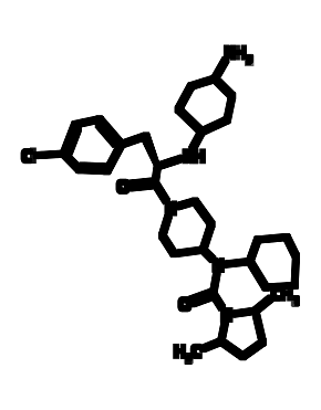 CC1CCC(C)N1C(=O)N(C1CCCCC1)C1CCN(C(=O)[C@@H](Cc2ccc(Cl)cc2)NC2CCC(N)CC2)CC1